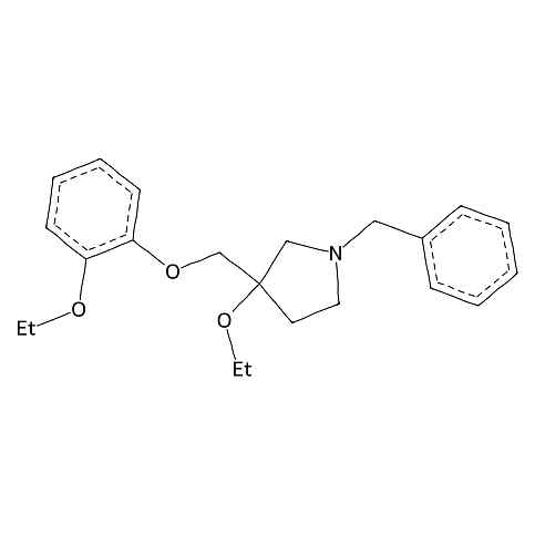 CCOc1ccccc1OCC1(OCC)CCN(Cc2ccccc2)C1